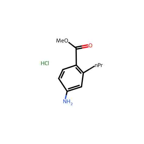 CCCc1cc(N)ccc1C(=O)OC.Cl